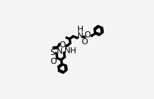 Cc1csc(C(=O)C(CCNC(=O)CC(C)CCNC(=O)OCc2ccccc2)c2ccccc2)n1